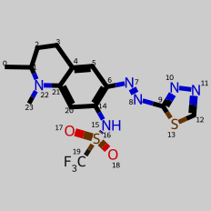 CC1CCc2cc(N=Nc3nncs3)c(NS(=O)(=O)C(F)(F)F)cc2N1C